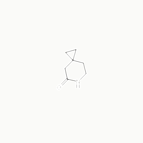 O=C1CC2(CCN1)CC2